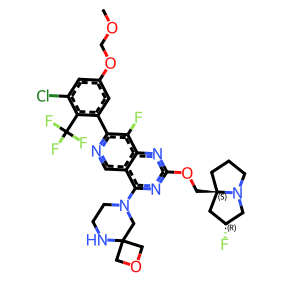 COCOc1cc(Cl)c(C(F)(F)F)c(-c2ncc3c(N4CCNC5(COC5)C4)nc(OC[C@@]45CCCN4C[C@H](F)C5)nc3c2F)c1